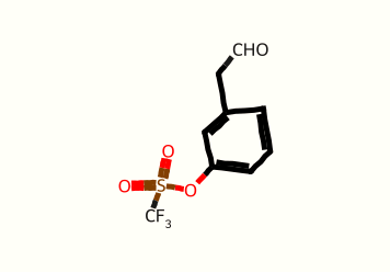 O=CCc1cccc(OS(=O)(=O)C(F)(F)F)c1